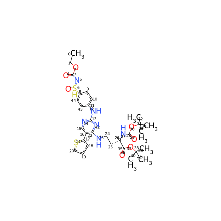 CCOC(=O)N=[SH](=O)c1ccc(Nc2ncc(-c3cccs3)c(NCC[C@H](NC(=O)OC(C)(C)C)C(=O)OC(C)(C)C)n2)cc1